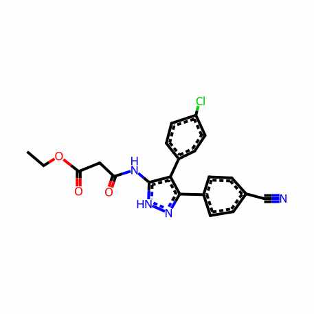 CCOC(=O)CC(=O)Nc1[nH]nc(-c2ccc(C#N)cc2)c1-c1ccc(Cl)cc1